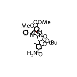 COC(=O)c1cc(CN(C(=O)C(C(=O)OC(C)(C)C)C(C)c2c(C)cc(C(N)=O)cc2C)C(C)c2nc(-c3ccccc3)c[nH]2)ccc1OC